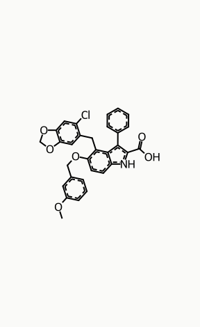 COc1cccc(COc2ccc3[nH]c(C(=O)O)c(-c4ccccc4)c3c2Cc2cc3c(cc2Cl)OCO3)c1